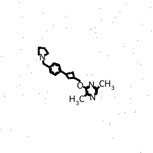 Cc1cnc(C)c(OCC2CC(c3ccc(CN4CCCC4)cc3)C2)n1